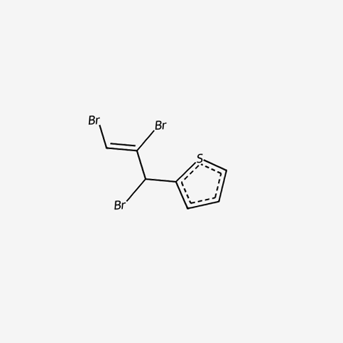 BrC=C(Br)C(Br)c1cccs1